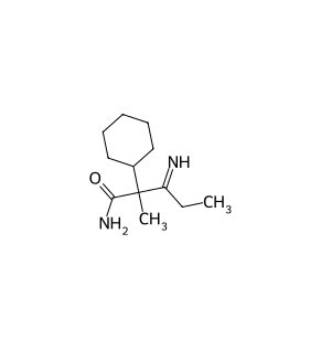 CCC(=N)C(C)(C(N)=O)C1CCCCC1